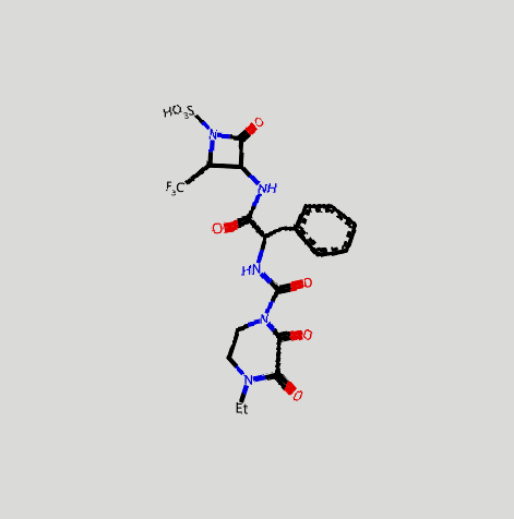 CCN1CCN(C(=O)NC(C(=O)NC2C(=O)N(S(=O)(=O)O)C2C(F)(F)F)c2ccccc2)C(=O)C1=O